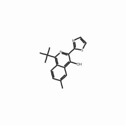 Cc1ccc2c(C(C)(C)C)nc(-c3nccs3)c(O)c2c1